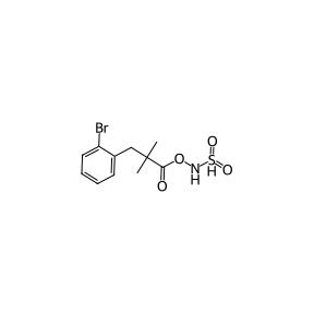 CC(C)(Cc1ccccc1Br)C(=O)ON[SH](=O)=O